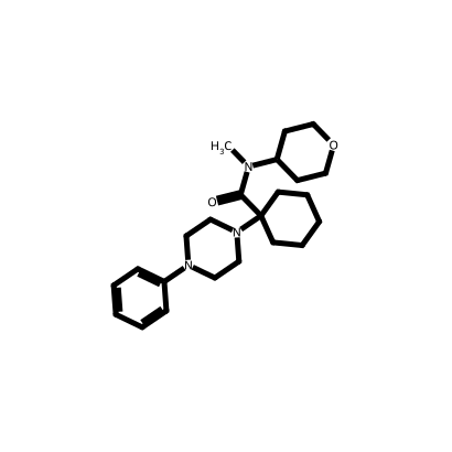 CN(C(=O)C1(N2CCN(c3ccccc3)CC2)CCCCC1)C1CCOCC1